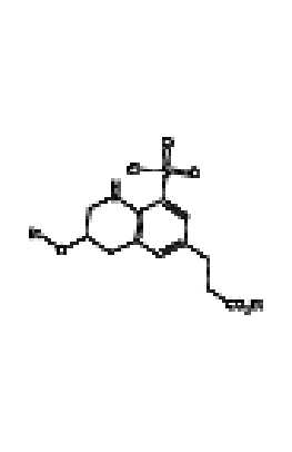 CCOC(=O)CCc1cc2c(c(S(=O)(=O)Cl)c1)NCC(OCC)C2